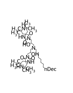 CCCCCCCCCCCCCCCCCCN(CC(O)CN1C(=O)NC2(CC(C)(C)NC(C)(C)C2)C1=O)CC(O)CN1C(=O)NC2(CC(C)(C)NC(C)(C)C2)C1=O